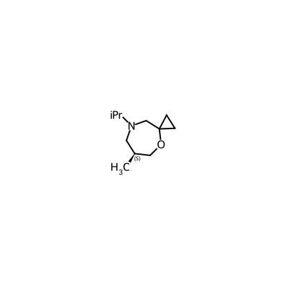 CC(C)N1C[C@H](C)COC2(CC2)C1